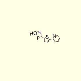 O/C=C\C(F)c1ccc(-c2ccccn2)s1